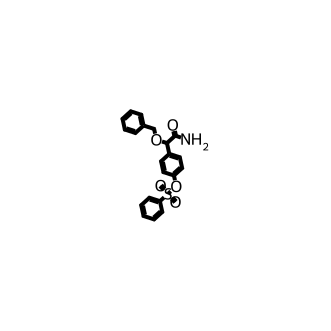 NC(=O)C(OCc1ccccc1)c1ccc(OS(=O)(=O)c2ccccc2)cc1